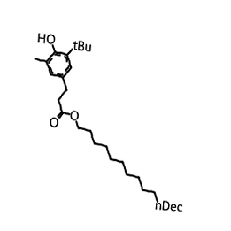 CCCCCCCCCCCCCCCCCCCCOC(=O)CCc1cc(C)c(O)c(C(C)(C)C)c1